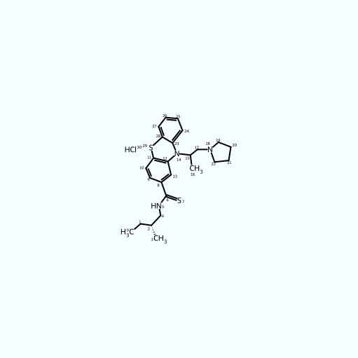 CC[C@@H](C)CNC(=S)c1ccc2c(c1)N(C(C)CN1CCCC1)c1ccccc1S2.Cl